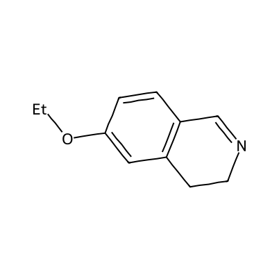 CCOc1ccc2c(c1)CCN=C2